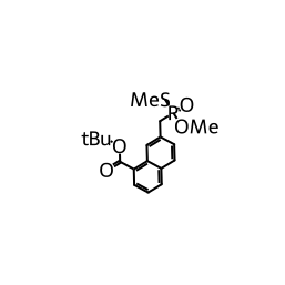 COP(=O)(Cc1ccc2cccc(C(=O)OC(C)(C)C)c2c1)SC